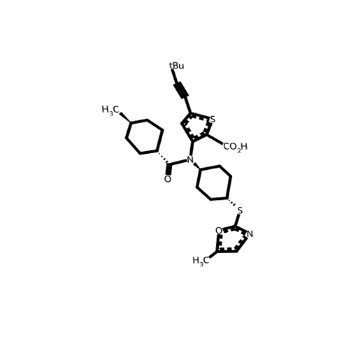 Cc1cnc(S[C@H]2CC[C@H](N(c3cc(C#CC(C)(C)C)sc3C(=O)O)C(=O)[C@H]3CC[C@H](C)CC3)CC2)o1